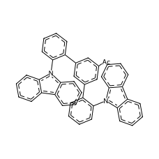 CC(=O)c1cc(-c2ccccc2-n2c3ccccc3c3ccccc32)cc(-c2ccccc2-n2c3ccccc3c3ccccc32)c1